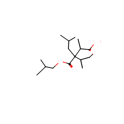 CCC(C)C(CC(C)C)(C(=O)OCC(C)C)C(C)C(=O)O